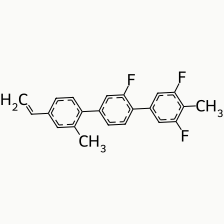 C=Cc1ccc(-c2ccc(-c3cc(F)c(C)c(F)c3)c(F)c2)c(C)c1